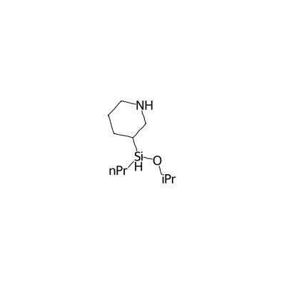 CCC[SiH](OC(C)C)C1CCCNC1